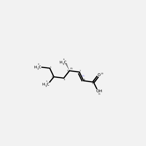 CCC(C)C[C@H](C)/C=C/C(=O)O